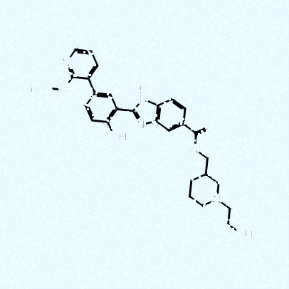 CCCN1CCCC(CNC(=O)c2ccc3[nH]c(-c4cc(-c5cccnc5OC)ccc4O)nc3c2)C1